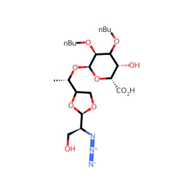 CCCCOC1[C@H](O)[C@H](C(=O)O)O[C@@H](O[C@@H](C)C2CO[C@@H]([C@H](CO)N=[N+]=[N-])O2)[C@H]1OCCCC